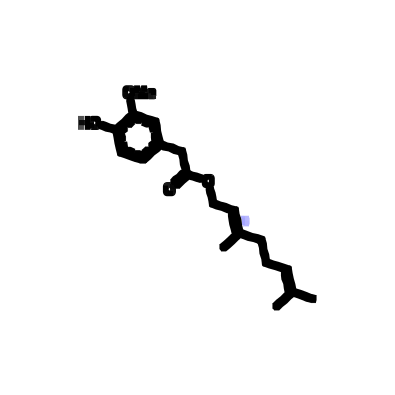 COc1cc(CC(=O)OC/C=C(\C)CCC=C(C)C)ccc1O